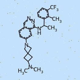 Cc1c(C(C)Nc2nncc3ccc(N4CC5(CC(N(C)C)C5)C4)cc23)cccc1C(F)(F)F